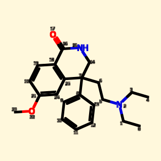 CCN(CC)CCC1(c2ccccc2)CNC(=O)c2ccc(OC)cc21